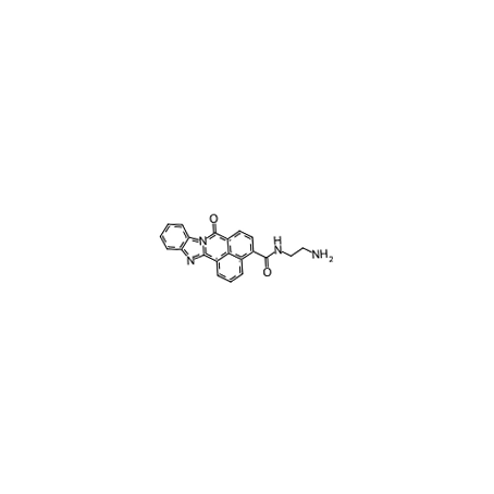 NCCNC(=O)c1ccc2c(=O)n3c4ccccc4nc3c3cccc1c23